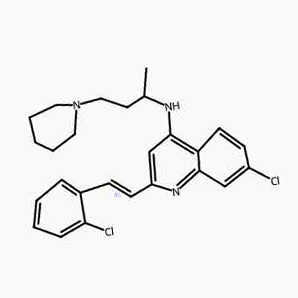 CC(CCN1CCCCC1)Nc1cc(/C=C/c2ccccc2Cl)nc2cc(Cl)ccc12